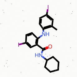 Cc1cc(I)ccc1Nc1ccc(I)cc1C(=O)NC1CCCCC1